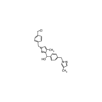 Cc1cnn(Cc2ccc(C(O)c3nn(Cc4ccc(CCl)cc4)cc3C)cc2)c1